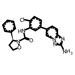 Nc1nc2ccc(-c3ccc(Cl)c(NC(=O)N4OCC[C@H]4c4ccccc4)c3)cn2n1